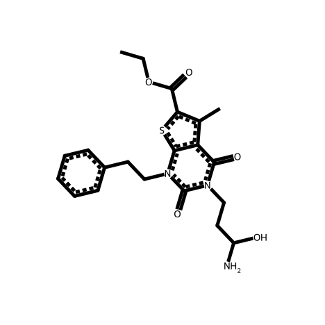 CCOC(=O)c1sc2c(c1C)c(=O)n(CCC(N)O)c(=O)n2CCc1ccccc1